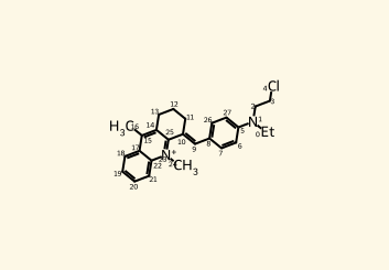 CCN(CCCl)c1ccc(C=C2CCCc3c(C)c4ccccc4[n+](C)c32)cc1